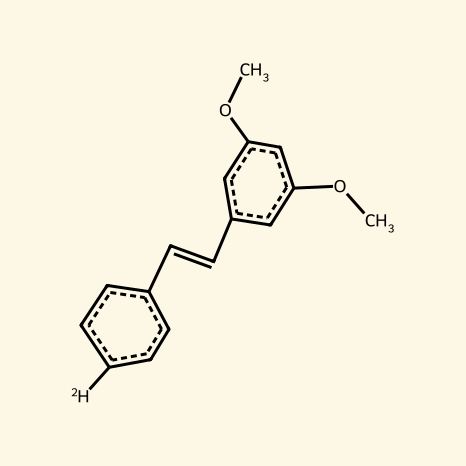 [2H]c1ccc(C=Cc2cc(OC)cc(OC)c2)cc1